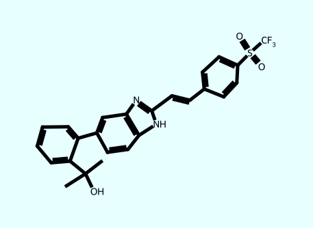 CC(C)(O)c1ccccc1-c1ccc2[nH]c(C=Cc3ccc(S(=O)(=O)C(F)(F)F)cc3)nc2c1